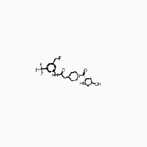 O=C(CC1CCN(C(=O)[C@@H]2C[C@@H](O)CN2)CC1)Nc1cc(CF)cc(C(F)(F)F)c1